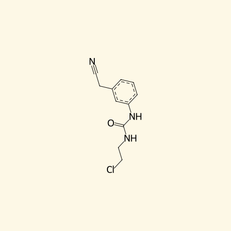 N#CCc1cccc(NC(=O)NCCCl)c1